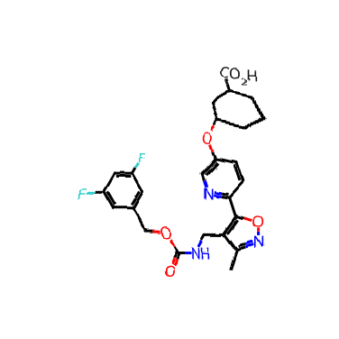 Cc1noc(-c2ccc(OC3CCCC(C(=O)O)C3)cn2)c1CNC(=O)OCc1cc(F)cc(F)c1